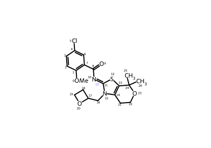 COc1ccc(Cl)cc1C(=O)/N=c1\sc2c(n1CC1CCO1)CCOC2(C)C